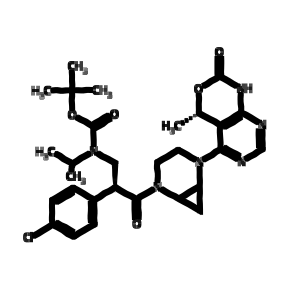 CC(C)N(C[C@@H](C(=O)N1CCN(c2ncnc3c2[C@H](C)OC(=O)N3)C2CC21)c1ccc(Cl)cc1)C(=O)OC(C)(C)C